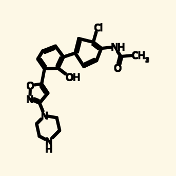 CC(=O)Nc1ccc(-c2cccc(-c3cc(N4CCNCC4)no3)c2O)cc1Cl